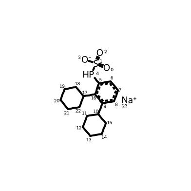 O=S(=O)([O-])Pc1cccc(C2CCCCC2)c1C1CCCCC1.[Na+]